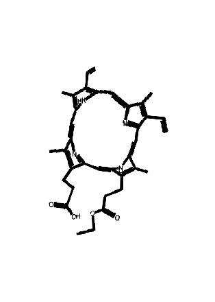 C=CC1=C(C)c2cc3[nH]c(cc4nc(cc5[nH]c(cc1n2)c(C)c5CCC(=O)OCC)C(CCC(=O)O)=C4C)c(C)c3C=C